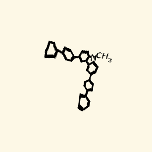 Cn1c2ccc(-c3ccc(-c4ccccc4)cc3)cc2c2cc(-c3ccc(-c4ccccc4)cc3)ccc21